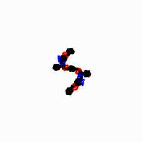 C(=N\[C@@H](COCc1ccc(COC[C@H](/N=C/c2ccc(OCc3ccccc3)cn2)c2ccccc2)cc1)c1ccccc1)/c1ccc(OCc2ccccc2)cn1